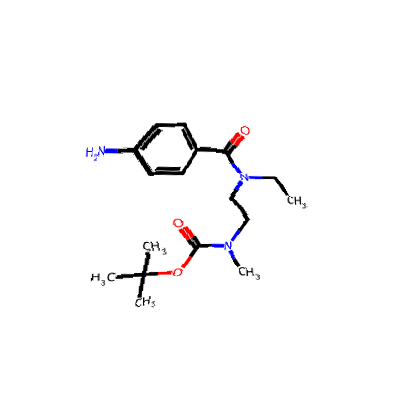 CCN(CCN(C)C(=O)OC(C)(C)C)C(=O)c1ccc(N)cc1